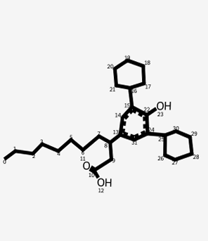 CCCCCCCCC(CC(=O)O)c1cc(C2CCCCC2)c(O)c(C2CCCCC2)c1